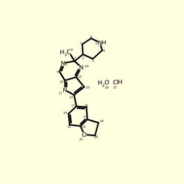 CC1(C2CCNCC2)N=CC2=NC(c3ccc4c(c3)CCO4)=CC2=N1.Cl.O